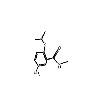 CNC(=O)c1cc(N)ccc1SC(C)C